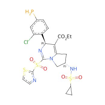 CCOC(=O)C1=C2C[C@H](NS(=O)(=O)C3CC3)CN2C(S(=O)(=O)c2nccs2)=N[C@H]1c1ccc(P)cc1Cl